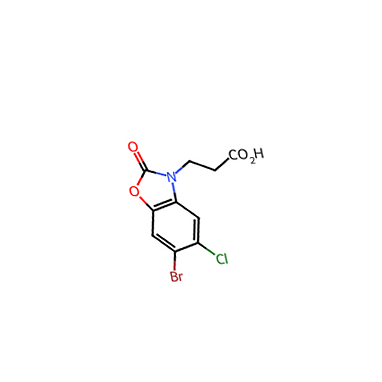 O=C(O)CCn1c(=O)oc2cc(Br)c(Cl)cc21